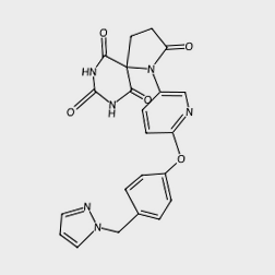 O=C1NC(=O)C2(CCC(=O)N2c2ccc(Oc3ccc(Cn4cccn4)cc3)nc2)C(=O)N1